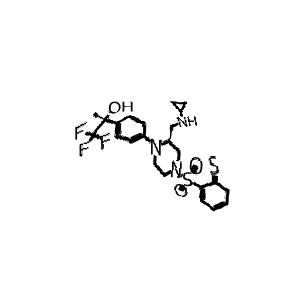 C[C@@](O)(c1ccc(N2CCN(S(=O)(=O)C3=CC=CCC3=S)C[C@@H]2CNC2CC2)cc1)C(F)(F)F